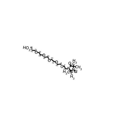 CC1(C)C(=O)N(CCOCCOCCOCCOCCOCCS(=O)(=O)O)C(C)(C)N1Cl